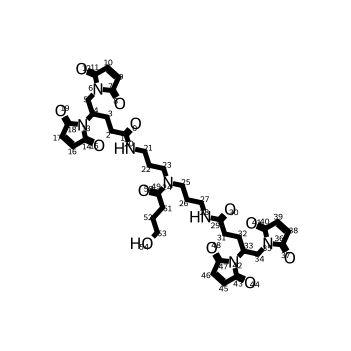 O=C(CCC(CN1C(=O)C=CC1=O)N1C(=O)C=CC1=O)NCCCN(CCCNC(=O)CCC(CN1C(=O)C=CC1=O)N1C(=O)C=CC1=O)C(=O)CCCO